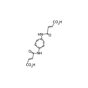 O=C(O)C=CC(=O)Nc1ccc(NC(=O)C=CC(=O)O)cc1